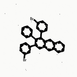 Brc1cccc(-c2cc3cc4ccccc4cc3c(-c3cccc(Br)c3)c2-c2ccccc2)c1